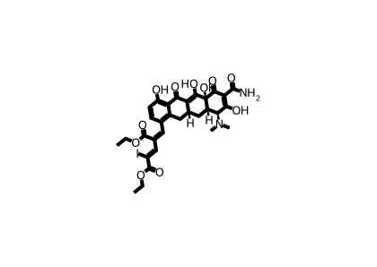 CCOC(=O)/C(I)=C/C(=C/c1ccc(O)c2c1C[C@H]1C[C@H]3[C@H](N(C)C)C(O)=C(C(N)=O)C(=O)[C@@]3(O)C(O)=C1C2=O)C(=O)OCC